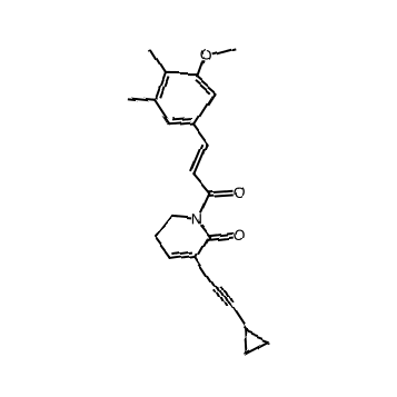 COc1cc(/C=C/C(=O)N2CCC=C(C#CC3CC3)C2=O)cc(C)c1C